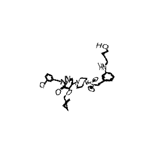 CC1(COc2c(N3CCN(S(=O)(=O)Cc4cccc(NCCCO)c4)CC3)cnn(-c3cccc(Cl)c3)c2=O)CC1